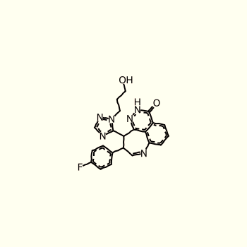 O=c1[nH]nc2c3c(cccc13)N=CC(c1ccc(F)cc1)C2c1ncnn1CCCO